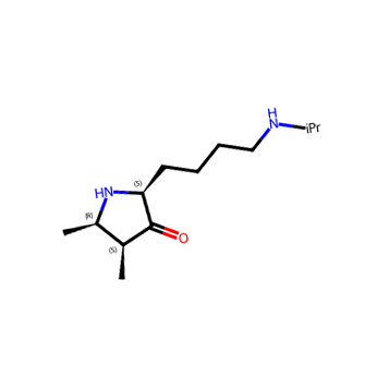 CC(C)NCCCC[C@@H]1N[C@H](C)[C@H](C)C1=O